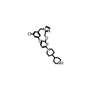 Clc1cc(Cl)cc(Cn2ccnc2COc2cccc(N3CCC(C4CCNCC4)CC3)n2)c1